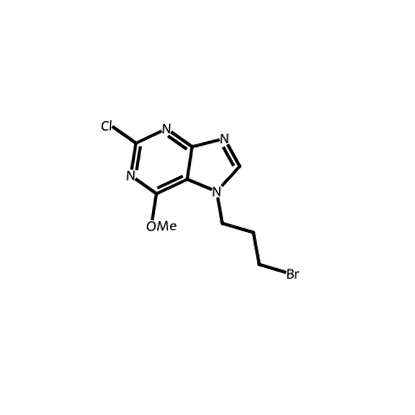 COc1nc(Cl)nc2ncn(CCCBr)c12